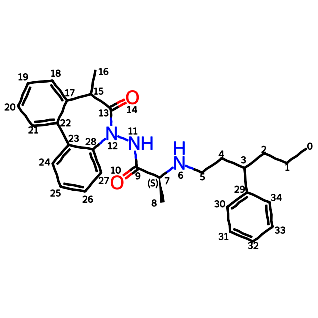 CCCC(CCN[C@@H](C)C(=O)NN1C(=O)C(C)c2ccccc2-c2ccccc21)c1ccccc1